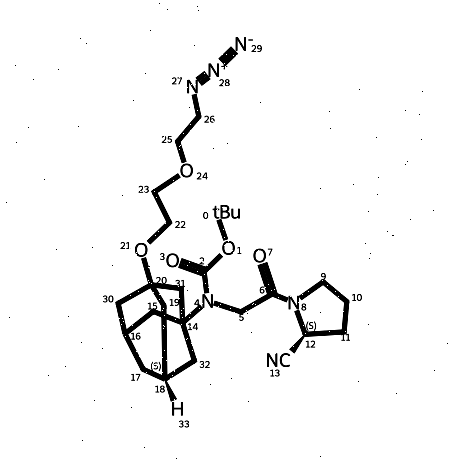 CC(C)(C)OC(=O)N(CC(=O)N1CCC[C@H]1C#N)C12CC3C[C@H](CC(OCCOCCN=[N+]=[N-])(C3)C1)C2